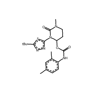 Cc1ccc(NC(=O)OC2CCN(C)C(=O)N2c2nnc(C(C)(C)C)s2)c(C)c1